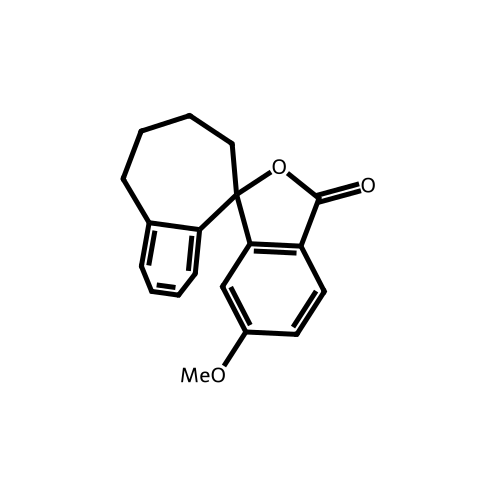 COc1ccc2c(c1)C1(CCCCc3ccccc31)OC2=O